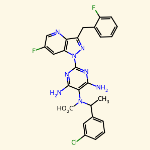 CC(c1cccc(Cl)c1)N(C(=O)O)c1c(N)nc(-n2nc(Cc3ccccc3F)c3ncc(F)cc32)nc1N